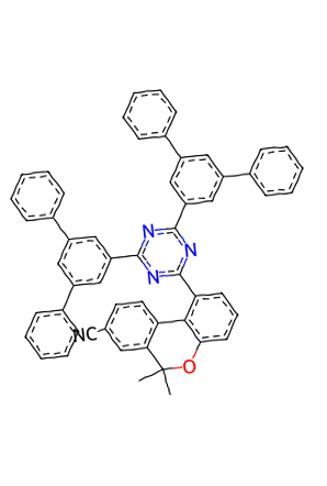 CC1(C)Oc2cccc(-c3nc(-c4cc(-c5ccccc5)cc(-c5ccccc5)c4)nc(-c4cc(-c5ccccc5)cc(-c5ccccc5)c4)n3)c2-c2ccc(C#N)cc21